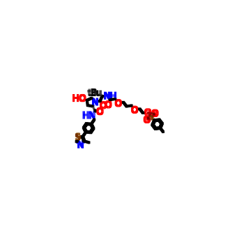 Cc1ccc(S(=O)(=O)OCCOCCCOCC(=O)N[C@H](C(=O)N2C[C@H](O)C[C@H]2C(=O)NCc2ccc(-c3scnc3C)cc2)C(C)(C)C)cc1